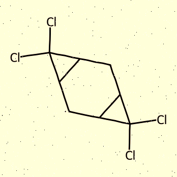 ClC1(Cl)C2[CH]C3C(CC21)C3(Cl)Cl